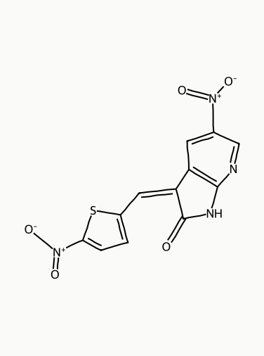 O=C1Nc2ncc([N+](=O)[O-])cc2C1=Cc1ccc([N+](=O)[O-])s1